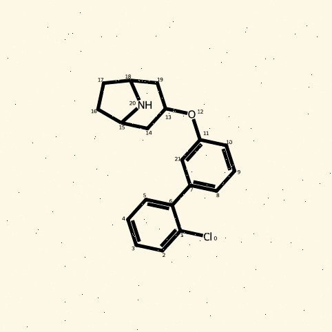 Clc1ccccc1-c1cccc(OC2CC3CCC(C2)N3)c1